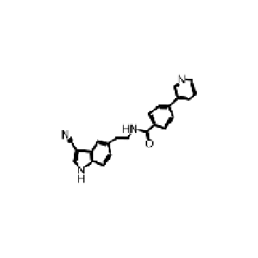 N#Cc1c[nH]c2ccc(CCNC(=O)c3ccc(-c4cccnc4)cc3)cc12